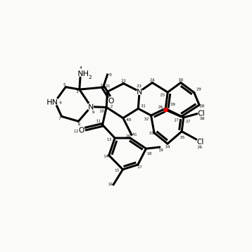 CC(=O)C1(N)CNCCN1C1(C(=O)c2cc(C)cc(C)c2)CCN(Cc2ccccc2)C(c2ccc(Cl)c(Cl)c2)C1C